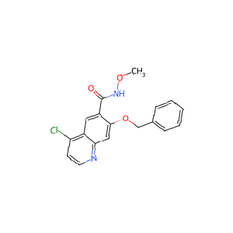 CONC(=O)c1cc2c(Cl)ccnc2cc1OCc1ccccc1